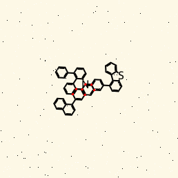 c1ccc(-c2ccccc2-c2c(-c3ccccc3)cccc2N(c2ccc(-c3cccc4ccccc34)cc2)c2ccc(-c3cccc4sc5ccccc5c34)cc2)cc1